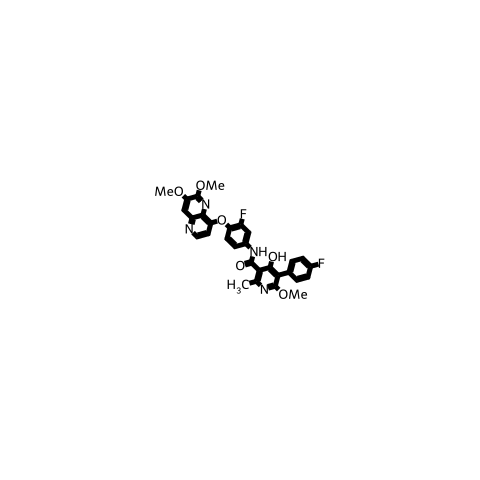 COc1cc2nccc(Oc3ccc(NC(=O)c4c(C)nc(OC)c(-c5ccc(F)cc5)c4O)cc3F)c2nc1OC